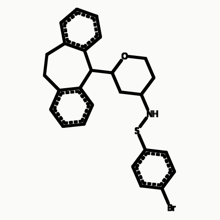 Brc1ccc(SNC2CCOC(C3c4ccccc4CCc4ccccc43)C2)cc1